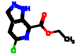 CCOC(=O)c1nc(Cl)cc2cn[nH]c12